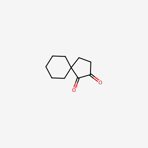 O=C1CCC2(CCCCC2)C1=O